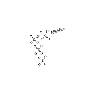 O=S(=O)([O-])[O-].O=S(=O)([O-])[O-].O=S(=O)([O-])[O-].O=S(=O)([O-])[O-].[Ba+2].[Ba+2].[Ba+2].[Ba+2]